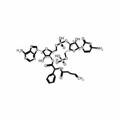 C=CCCC(=O)NC(C(=O)O[C@H]1[C@@H](O)[C@H](n2cnc3c(N)ncnc32)O[C@H]1COP(=O)(O)O[C@H]1[C@@H](O)[C@H](n2ccc(N)nc2=O)O[C@@H]1COP(=O)(O)O)c1ccccc1